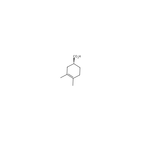 CC1=C(C)C[C@@H](C(=O)O)CC1